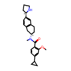 COc1cc(C2CC2)ccc1C(=O)N(C)[C@H]1CCc2cc([C@H]3CCCN3)ccc2C1